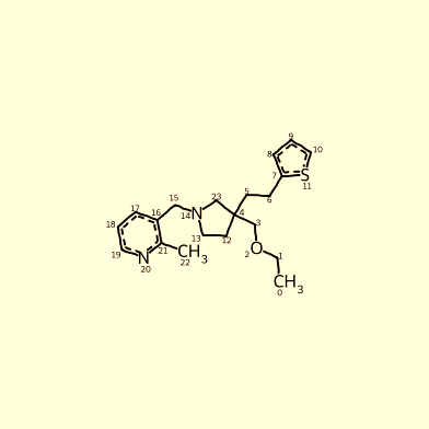 CCOCC1(CCc2cccs2)CCN(Cc2cccnc2C)C1